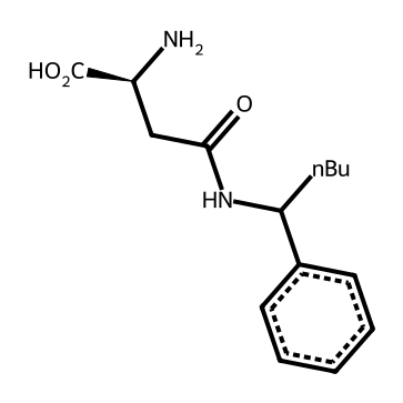 CCCCC(NC(=O)C[C@H](N)C(=O)O)c1ccccc1